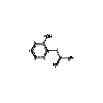 CCCC(=N)Cc1ccccc1O